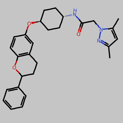 Cc1cc(C)n(CC(=O)N[C@H]2CC[C@H](Oc3ccc4c(c3)CCC(c3ccccc3)O4)CC2)n1